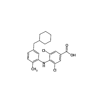 Cc1ccc(CC2CCCCC2)cc1Nc1c(Cl)cc(C(=O)O)cc1Cl